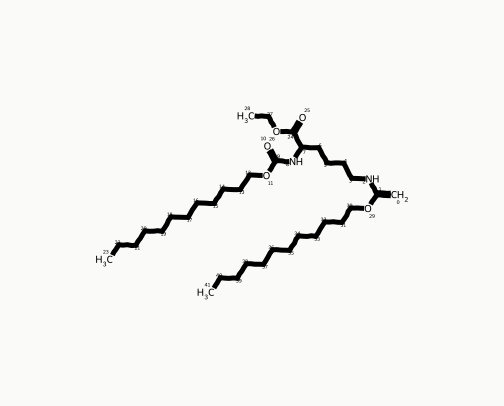 C=C(NCCCCC(NC(=O)OCCCCCCCCCCCC)C(=O)OCC)OCCCCCCCCCCCC